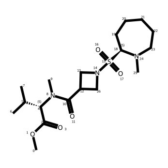 COC(=O)[C@H](C(C)C)N(C)C(=O)C1CN(S(=O)(=O)[C@H]2CCCCCN2C)C1